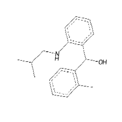 Cc1ccccc1C(O)c1ccccc1NCC(C)C